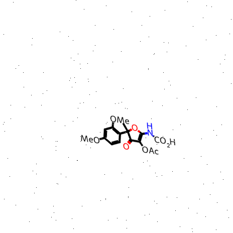 COc1ccc(C2(C)OC(NC(=O)O)=C(OC(C)=O)C2=O)c(OC)c1